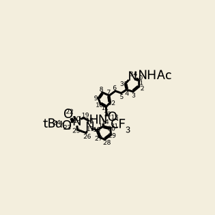 CC(=O)Nc1ccc(CCc2cccc(C(=O)Nc3c(N4CCN(C(=O)OC(C)(C)C)CC4)cccc3C(F)(F)F)c2)cn1